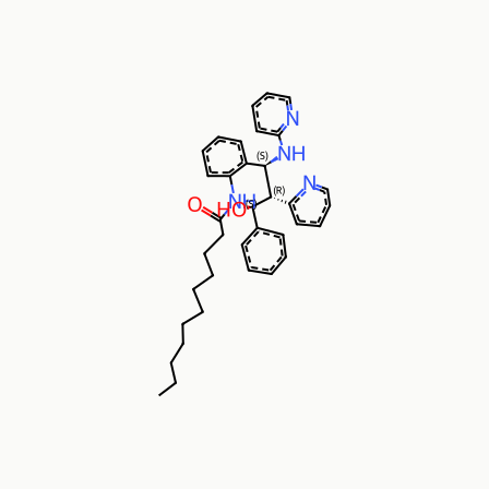 CCCCCCCCCCC(=O)Nc1ccccc1[C@@H](Nc1ccccn1)[C@H](c1ccccn1)[C@H](O)c1ccccc1